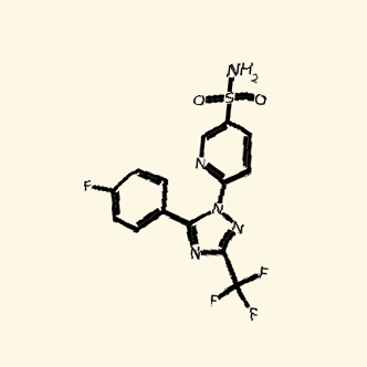 NS(=O)(=O)c1ccc(-n2nc(C(F)(F)F)nc2-c2ccc(F)cc2)nc1